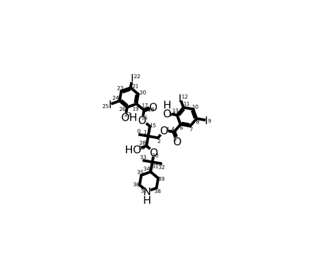 CC(COC(=O)c1cc(I)cc(I)c1O)(COC(=O)c1cc(I)cc(I)c1O)C(O)OC(C)(C)C1CCNCC1